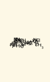 COc1cc(-c2ccc(CNC3CC(O)C(CN(C)c4ncnc5sc(CC(F)(F)F)cc45)C3)cc2)cnc1Cl